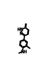 C=C1C=CC(c2ccc(NC)c(C)c2)=NN1